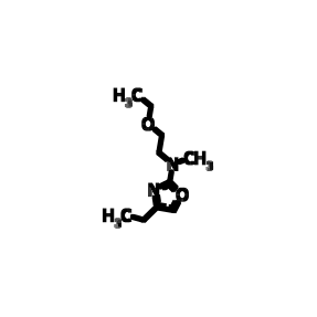 CCOCCN(C)c1nc(CC)co1